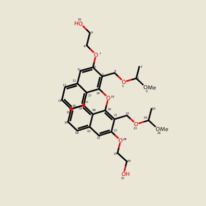 COC(C)OCc1c(OCCO)cc2ccccc2c1Oc1c(COC(C)OC)c(OCCO)cc2ccccc12